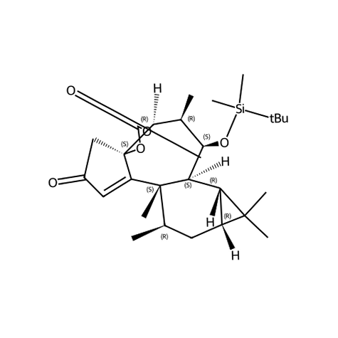 C[C@H]1[C@@H](O[Si](C)(C)C(C)(C)C)[C@H]2[C@H]3[C@@H](C[C@@H](C)[C@]2(C)C2=CC(=O)C[C@]24OC(=O)O[C@H]14)C3(C)C